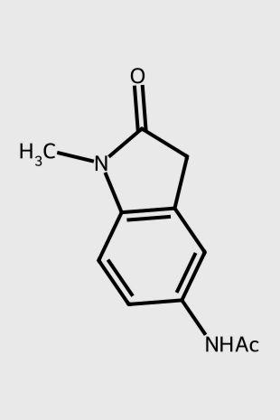 CC(=O)Nc1ccc2c(c1)CC(=O)N2C